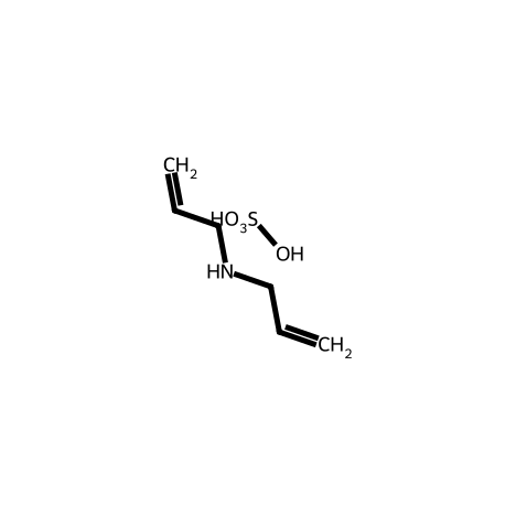 C=CCNCC=C.O=S(=O)(O)O